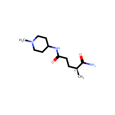 C[C@@H](C[CH]C(=O)NC1CCN(C)CC1)C(N)=O